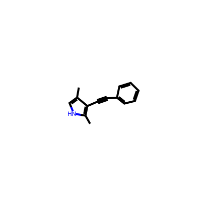 Cc1c[nH]c(C)c1C#Cc1ccccc1